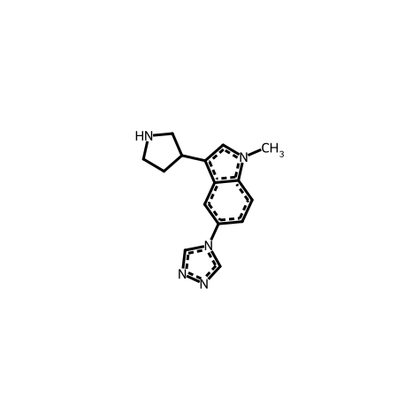 Cn1cc(C2CCNC2)c2cc(-n3cnnc3)ccc21